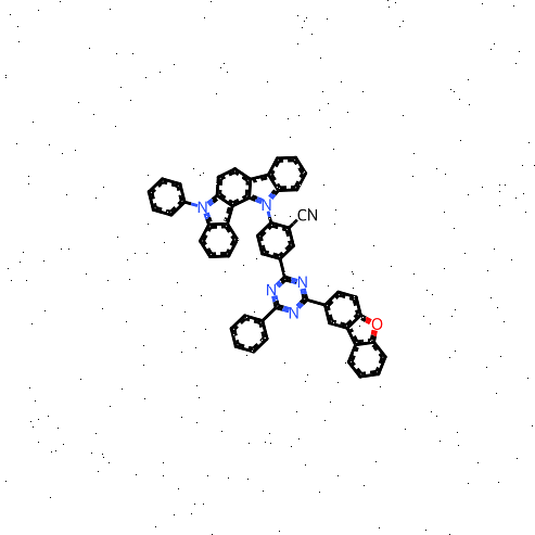 N#Cc1cc(-c2nc(-c3ccccc3)nc(-c3ccc4oc5ccccc5c4c3)n2)ccc1-n1c2ccccc2c2ccc3c(c4ccccc4n3-c3ccccc3)c21